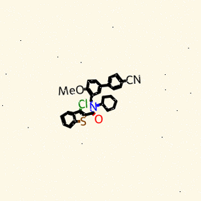 COc1ccc(-c2ccc(C#N)cc2)cc1CN(C(=O)c1sc2ccccc2c1Cl)C1CCCCC1